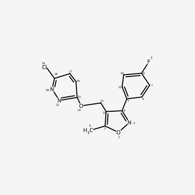 Cc1onc(-c2ccc(F)cc2)c1COc1ccc(Cl)nn1